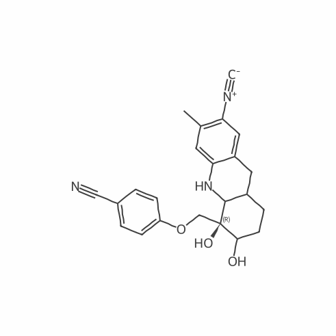 [C-]#[N+]c1cc2c(cc1C)NC1C(CCC(O)[C@]1(O)COc1ccc(C#N)cc1)C2